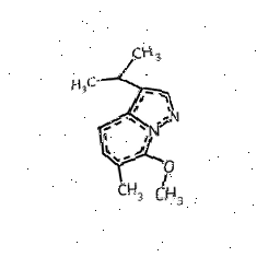 COc1c(C)ccc2c(C(C)C)cnn12